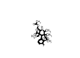 CCC1(C(=O)O)C(COC(C)=O)NC(C)C(C)(C(=O)O)C1c1cccc(F)c1C(C)F